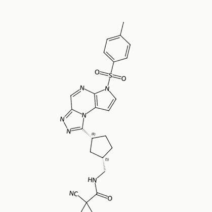 Cc1ccc(S(=O)(=O)n2ccc3c2ncc2nnc([C@@H]4CC[C@H](CNC(=O)C5(C#N)CC5)C4)n23)cc1